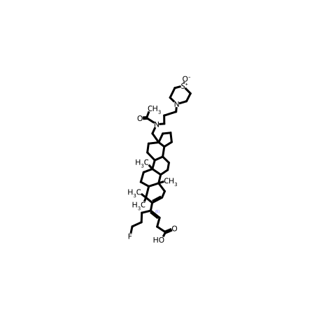 CC(=O)N(CCCN1CC[S+]([O-])CC1)CC12CCCC1C1CCC3C(C)(CCC4C(C)(C)C(/C(=C/CC(=O)O)CCCF)=CCC43C)C1CC2